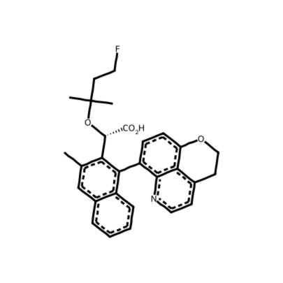 Cc1cc2ccccc2c(-c2ccc3c4c(ccnc24)CCO3)c1[C@H](OC(C)(C)CCF)C(=O)O